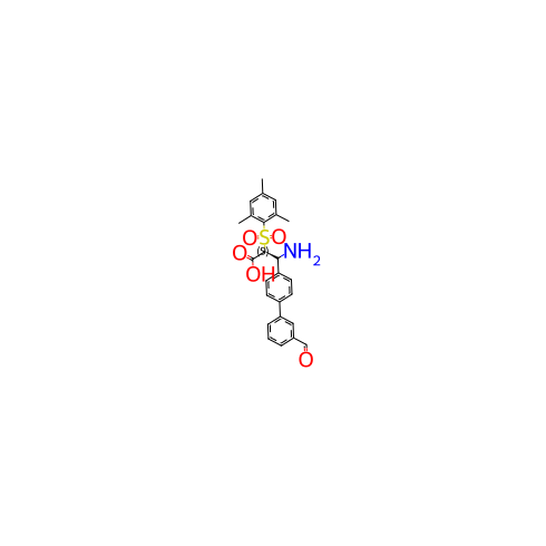 Cc1cc(C)c(S(=O)(=O)[C@H](C(=O)O)C(N)c2ccc(-c3cccc(C=O)c3)cc2)c(C)c1